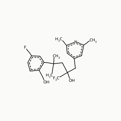 Cc1cc(CC(O)(CC(C)(C)c2cc(F)ccc2O)C(F)(F)F)cc(C)n1